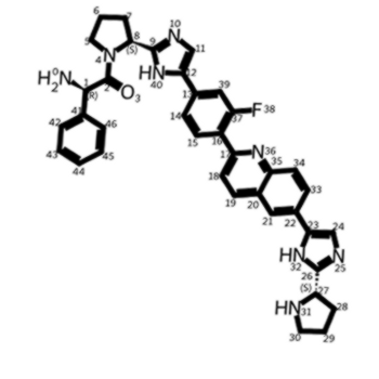 N[C@@H](C(=O)N1CCC[C@H]1c1ncc(-c2ccc(-c3ccc4cc(-c5cnc([C@@H]6CCCN6)[nH]5)ccc4n3)c(F)c2)[nH]1)c1ccccc1